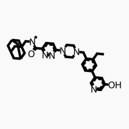 CCc1cc(-c2cncc(O)c2)ccc1CN1CCN(c2ccc(C(=O)N(C)CC34CC5CC(CC(C5)C3)C4)nn2)CC1